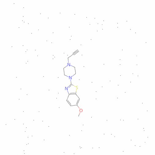 C#CCN1CCN(c2nc3ccc(OC)cc3s2)CC1